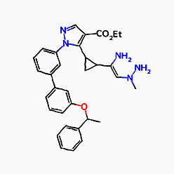 CCOC(=O)c1cnn(-c2cccc(-c3cccc(OC(C)c4ccccc4)c3)c2)c1C1CC1/C(N)=C/N(C)N